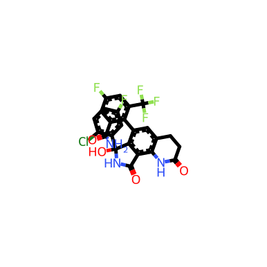 NC(=O)c1cc(F)cc(C(F)(F)F)c1-c1cc2c(c3c1C(O)(c1cc(F)ccc1Cl)NC3=O)NC(=O)CC2